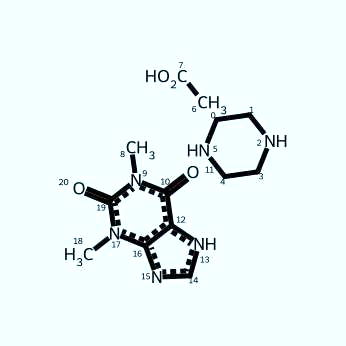 C1CNCCN1.CC(=O)O.Cn1c(=O)c2[nH]cnc2n(C)c1=O